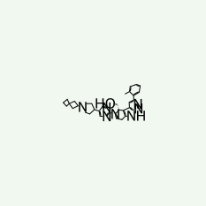 Cc1ccccc1-c1cc2c3c([nH]c2nn1)CCN(c1ncc(C2CCN(C4CC5(CCC5)C4)CC2)cn1)[C@@H]3CO